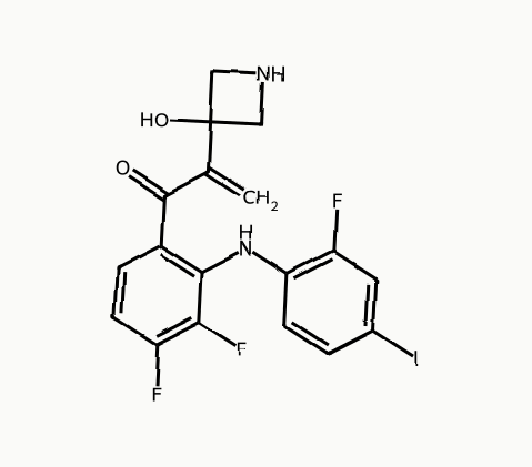 C=C(C(=O)c1ccc(F)c(F)c1Nc1ccc(I)cc1F)C1(O)CNC1